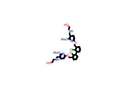 COc1nc(OCc2cccc(-c3cccc(COc4ccc(CNCCO)c(OC)n4)c3Cl)c2Cl)ccc1CNCCO